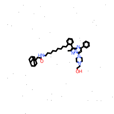 Cc1nn2c(N3CCN(CCO)CC3)cc(-c3ccccc3)nc2c1-c1ccccc1CCCCCCCCCNC(=O)CC12CC3CC(CC(C3)C1)C2